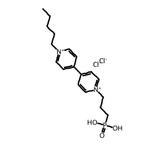 CCCCC[n+]1ccc(-c2cc[n+](CCCP(=O)(O)O)cc2)cc1.[Cl-].[Cl-]